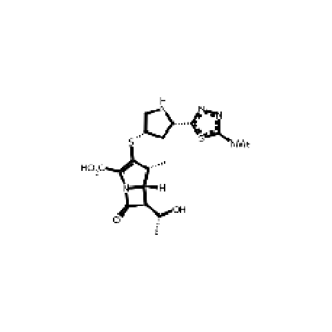 CNc1nnc([C@@H]2C[C@H](SC3=C(C(=O)O)N4C(=O)[C@H]([C@@H](C)O)[C@H]4[C@H]3C)CN2)s1